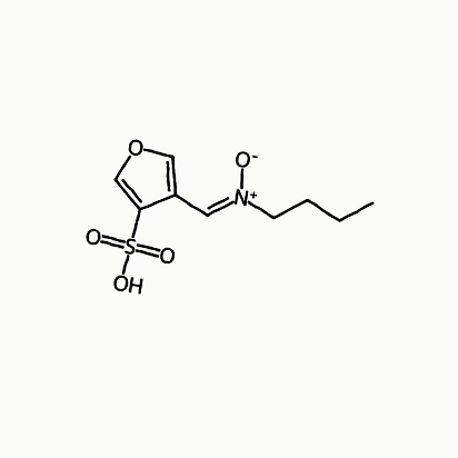 CCCC[N+]([O-])=Cc1cocc1S(=O)(=O)O